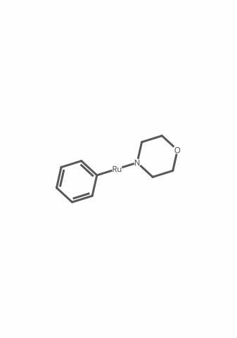 c1cc[c]([Ru][N]2CCOCC2)cc1